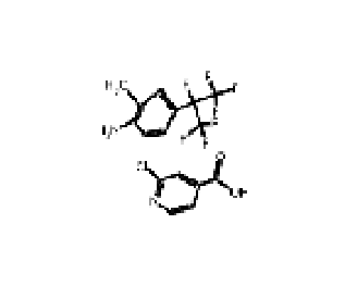 Cc1cc(C(F)(C(F)(F)F)C(F)(F)F)ccc1N.O=C(O)c1ccnc(Cl)c1